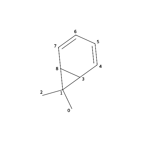 CC1(C)C2C=CC=CC21